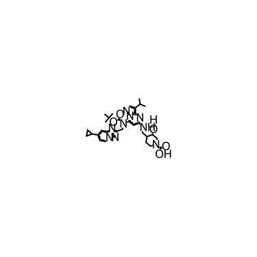 CC(C)c1cnn2c(N(Cc3nc4cc(C5CC5)ccn4n3)C(=O)OC(C)(C)C)cc(NCC3CCN(C(=O)O)CC3O)nc12